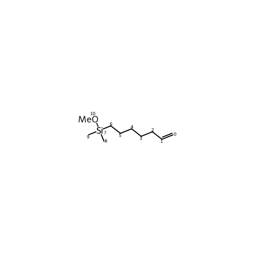 C=CCCCCC[Si](C)(C)OC